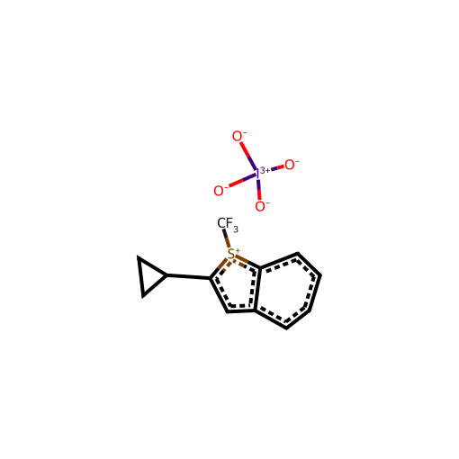 FC(F)(F)[s+]1c(C2CC2)cc2ccccc21.[O-][I+3]([O-])([O-])[O-]